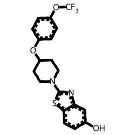 Oc1ccc2sc(N3CCC(Oc4ccc(OC(F)(F)F)cc4)CC3)nc2c1